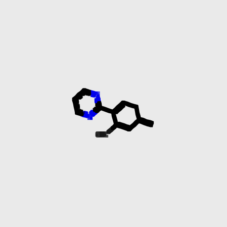 C=C1C=C(C=O)C(c2ncccn2)=CC1